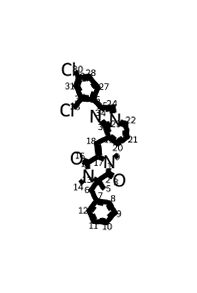 CN1C(=O)C(C)(Cc2ccccc2)N(C)C(=O)/C1=C/c1cccn2cc(-c3ccc(Cl)cc3Cl)nc12